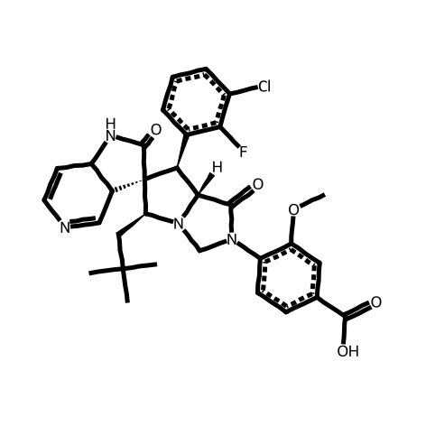 COc1cc(C(=O)O)ccc1N1CN2[C@@H](CC(C)(C)C)[C@@]3(C(=O)NC4C=CN=CC43)[C@@H](c3cccc(Cl)c3F)[C@@H]2C1=O